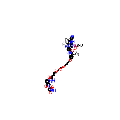 C=C(N/C(=C(/CC)C(C)CC)c1ccncc1)C1(Nc2cccc(C(=O)N[C@@H](C)c3ccc(OCCCCCCOCCOCCOCCCCCC(=O)Nc4cccc5c4CN(C4CCC(=O)NC4=O)C5=O)cc3)c2)CCN(C(=O)OC(C)(C)C)CC1